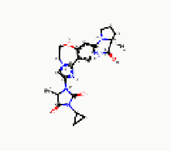 CC(C)C1C(=O)N(C2CC2)C(=O)N1c1cn2c(n1)-c1ccc(N3CCC[C@@]3(C)C(N)=O)cc1OCC2